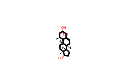 C[C@H]1C[C@H](O)CC2=CC[C@H]3[C@@H]4CC[C@H](O)[C@@]4(C)CC[C@@H]3[C@]21CO